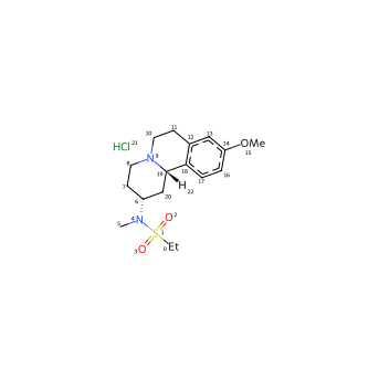 CCS(=O)(=O)N(C)[C@@H]1CCN2CCc3cc(OC)ccc3[C@@H]2C1.Cl